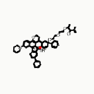 C=C(C)C(=O)C(C)OCCOCCOC1(c2ccccc2)C=CC(OC)=C(C2=CCOc3c2c2c(c4cc(N5CCCCC5)ccc34)-c3ccc(-c4ccccc4)cc3C2(CCC)CCC)C1